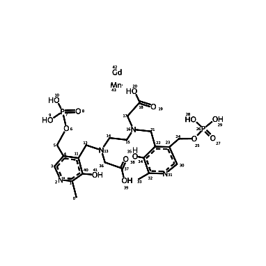 Cc1ncc(COP(=O)(O)O)c(CN(CCN(CC(=O)O)Cc2c(COP(=O)(O)O)cnc(C)c2O)CC(=O)O)c1O.[Gd].[Mn]